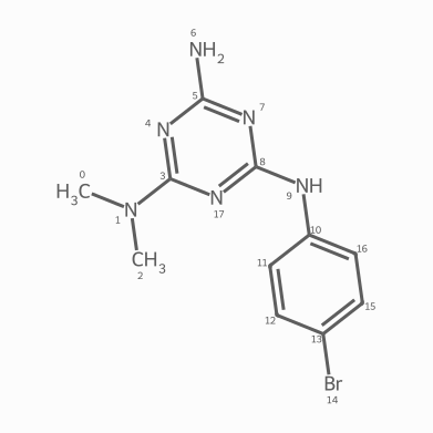 CN(C)c1nc(N)nc(Nc2ccc(Br)cc2)n1